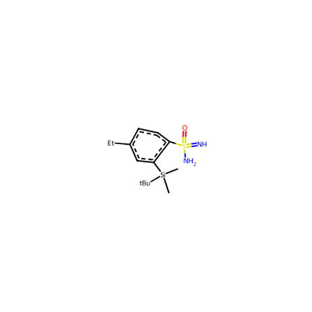 CCc1ccc(S(=N)(N)=O)c([Si](C)(C)C(C)(C)C)c1